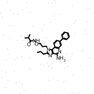 CCCc1nc2c(N)nc3cc(-c4ccccc4)ccc3c2n1CCCONC(=O)C(C)C